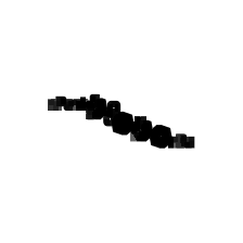 CCCCC[C@H]1SC[C@H](C(=O)Oc2ccc(-c3ncc([C@H]4CC[C@H](CCCC)CC4)cn3)cc2)CS1